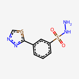 NNS(=O)(=O)c1cccc(-c2nncs2)c1